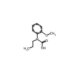 CCCN(C(=O)O)c1ccccc1OC